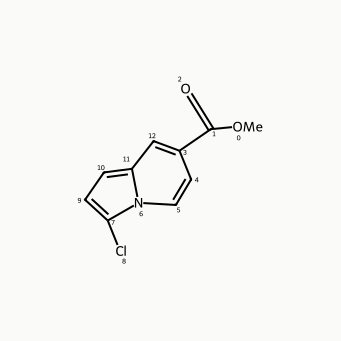 COC(=O)c1ccn2c(Cl)ccc2c1